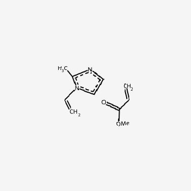 C=CC(=O)OC.C=Cn1ccnc1C